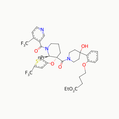 CCC[C@H]1N(C(=O)c2cnccc2C(F)(F)F)CCC[C@@]1(Oc1csc(C(F)(F)F)c1)C(=O)N1CCC(O)(c2ccccc2OCCCC(=O)OCC)CC1